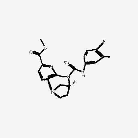 COC(=O)c1ccc2c(n1)N(C(=O)Nc1cc(C)c(F)cn1)[C@H]1CCN2C1